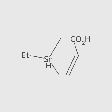 C=CC(=O)O.C[CH2][SnH]([CH3])[CH3]